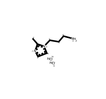 Cc1nccn1CCCN.Cl.Cl